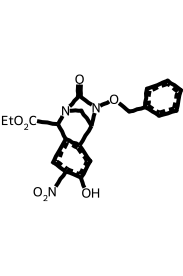 CCOC(=O)C1c2cc([N+](=O)[O-])c(O)cc2C2CN1C(=O)N2OCc1ccccc1